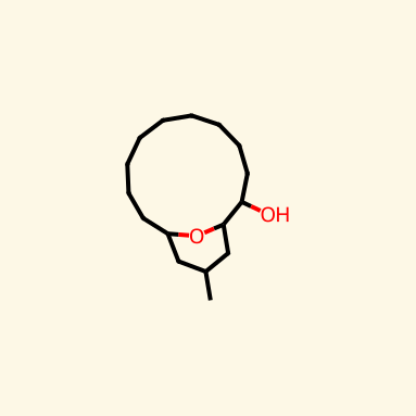 CC1CC2CCCCCCCCCC(O)C(C1)O2